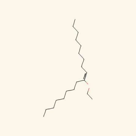 CCCCCCCC/C=C(\CCCCCCCC)OCC